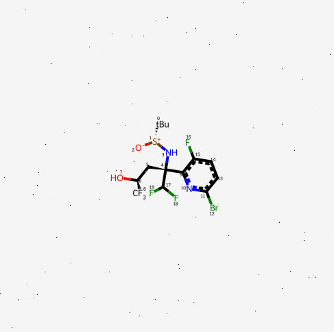 CC(C)(C)[S@@+]([O-])N[C@](C[C@H](O)C(F)(F)F)(c1nc(Br)ccc1F)C(F)F